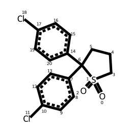 O=S1(=O)CCCC1(c1ccc(Cl)cc1)c1ccc(Cl)cc1